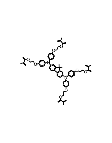 C=C(C)C(=C)OCCOc1ccc(N(c2ccc(OCCOC(=C)C(=C)C)cc2)c2ccc3c(c2)C(C)(C)c2cc(N(c4ccc(OCCOC(=C)C(=C)C)cc4)c4ccc(OCCOC(=C)C(=C)C)cc4)ccc2-3)cc1